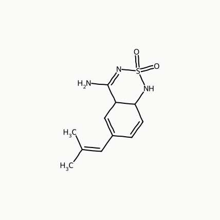 CC(C)=CC1=CC2C(N)=NS(=O)(=O)NC2C=C1